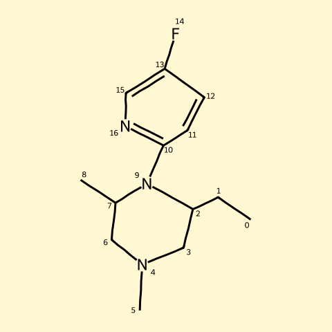 CCC1CN(C)CC(C)N1c1ccc(F)cn1